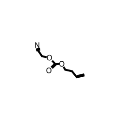 C=CCCOC(=O)OCC#N